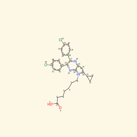 O=C(O)CCCCCCn1c(C2CC2)cc2nc(-c3ccc(Cl)cc3)c(-c3ccc(Cl)cc3)nc21